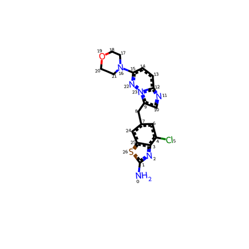 Nc1nc2c(Cl)cc(Cc3cnc4ccc(N5CCOCC5)nn34)cc2s1